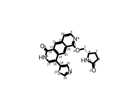 O=C1CC[C@@H](COc2nccc3cc4c(=O)[nH]cc(-c5cncs5)c4cc23)N1